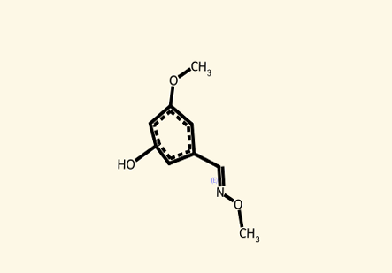 CO/N=C/c1cc(O)cc(OC)c1